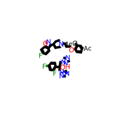 COc1cc(C(C)=O)ccc1OCCCN1CCC(c2noc3cc(F)ccc23)CC1.OC(Cn1cncn1)(Cn1cncn1)c1ccc(F)cc1F